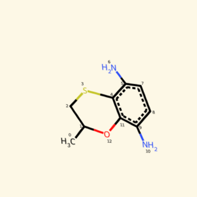 CC1CSc2c(N)ccc(N)c2O1